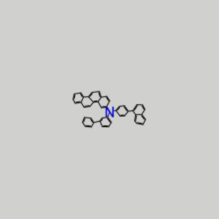 c1ccc(-c2cccc(N(c3ccc(-c4cccc5ccccc45)cc3)c3ccc4ccc5c6ccccc6ccc5c4c3)c2)cc1